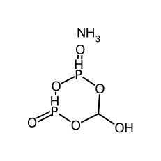 N.O=[PH]1OC(O)O[PH](=O)O1